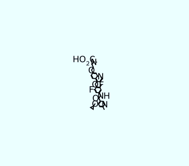 Cc1cc(OC2CC2)c(C(=O)Nc2cc(F)c(Oc3ccnc4cc(OCCN(C)C(=O)O)ccc34)c(F)c2)cn1